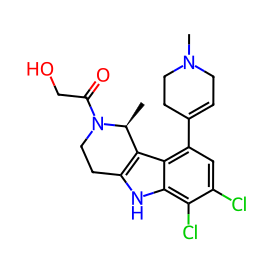 C[C@H]1c2c([nH]c3c(Cl)c(Cl)cc(C4=CCN(C)CC4)c23)CCN1C(=O)CO